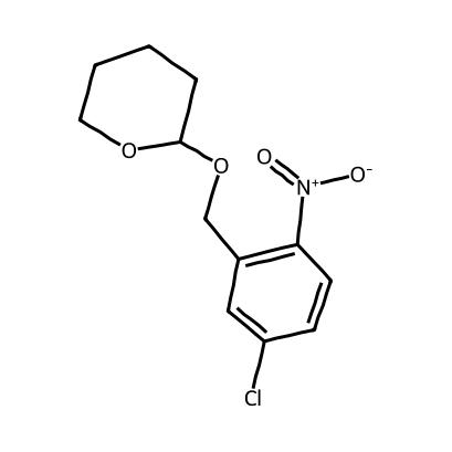 O=[N+]([O-])c1ccc(Cl)cc1COC1CCCCO1